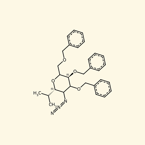 CC(C)[C@@H]1OC(COCc2ccccc2)[C@@H](OCc2ccccc2)C(OCc2ccccc2)C1N=[N+]=[N-]